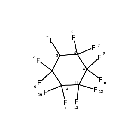 FC1(F)C(I)C(F)(F)C(F)(F)C(F)(F)C1(F)F